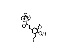 CCCc1cc(C=CC(=O)C(C)(C)P(=O)(OC)OC)cc(OC)c1O